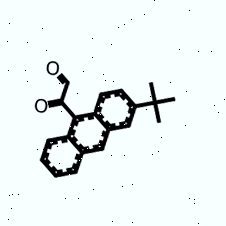 CC(C)(C)c1ccc2c(C(=O)C=O)c3ccccc3cc2c1